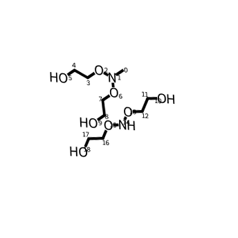 CN(OCCO)OCCO.OCCONOCCO